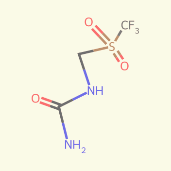 NC(=O)NCS(=O)(=O)C(F)(F)F